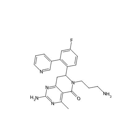 Cc1nc(N)nc2c1C(=O)N(CCCN)C(c1ccc(F)cc1-c1cccnc1)C2